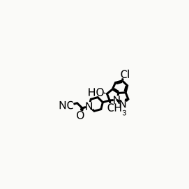 CC1(C2CCN(C(=O)CC#N)CC2)[C@H](O)c2cc(Cl)cc3cnn1c23